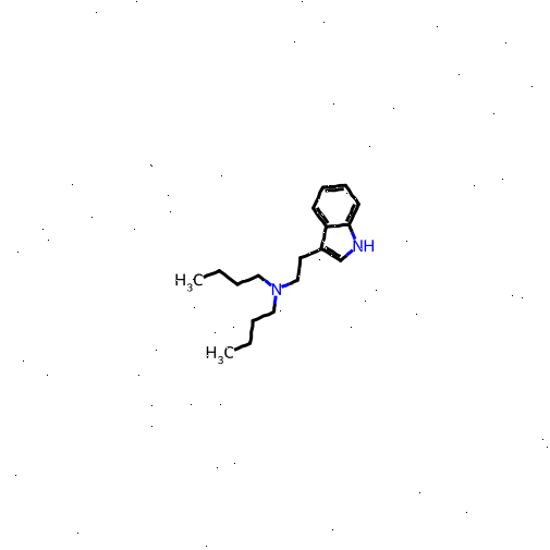 CCCCN(CCCC)CCc1c[nH]c2ccccc12